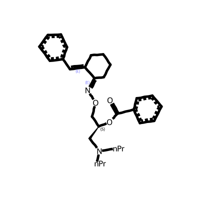 CCCN(CCC)C[C@@H](CO/N=C1\CCCC\C1=C/c1ccccc1)OC(=O)c1ccccc1